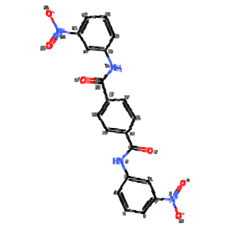 O=C(Nc1cccc([N+](=O)[O-])c1)c1ccc(C(=O)Nc2cccc([N+](=O)[O-])c2)cc1